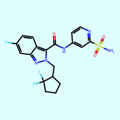 NS(=O)(=O)c1cc(NC(=O)c2c3ccc(F)cc3nn2CC2CCCC2(F)F)ccn1